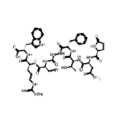 CNC(=N)NCCC[C@H](NC(=O)[C@H](CC(C)C)NC(=O)NNC(=O)[C@H](Cc1ccccc1)NC(=O)[C@@H](NC(=O)[C@H](CC(N)=O)NC(=O)[C@@H]1CCC(=O)N1)[C@@H](C)O)C(=O)N[C@@H](Cc1c[nH]c2ccccc12)C(N)=O